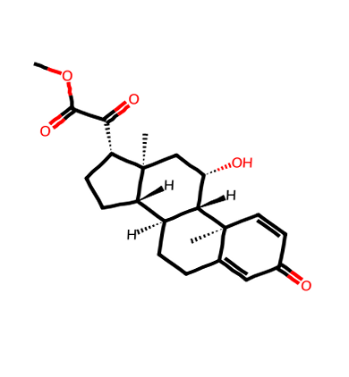 COC(=O)C(=O)[C@H]1CC[C@H]2[C@@H]3CCC4=CC(=O)C=C[C@]4(C)[C@H]3[C@@H](O)C[C@]12C